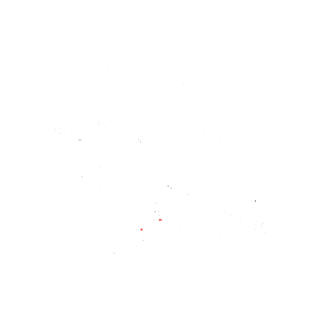 CC(C)(C)c1ccc(N2c3cc(C(C)(C)C)cc4c3B(c3cc5c(cc3N4c3ccc4c(c3)C(C)(C)CCC4(C)C)C(C)(C)CCC5(C)C)c3c2ccc2c3sc3cccc(C(C)(C)C)c32)c(-c2ccccc2)c1